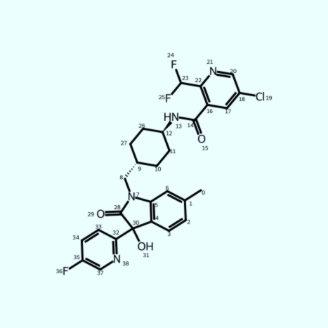 Cc1ccc2c(c1)N(C[C@H]1CC[C@H](NC(=O)c3cc(Cl)cnc3C(F)F)CC1)C(=O)C2(O)c1ccc(F)cn1